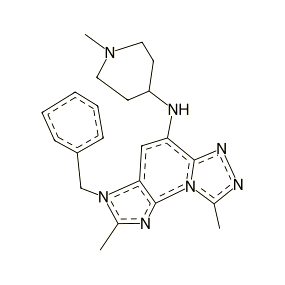 Cc1nc2c(cc(NC3CCN(C)CC3)c3nnc(C)n32)n1Cc1ccccc1